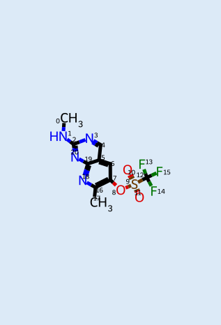 CNc1ncc2cc(OS(=O)(=O)C(F)(F)F)c(C)nc2n1